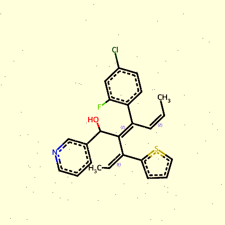 C\C=C/C(=C(\C(=C/C)c1cccs1)C(O)c1cccnc1)c1ccc(Cl)cc1F